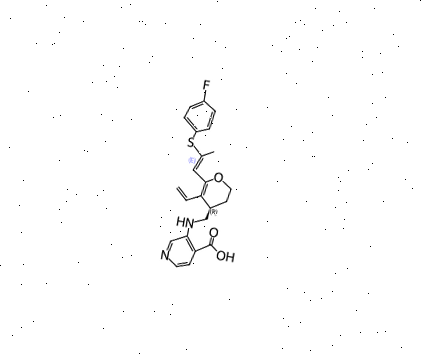 C=CC1=C(/C=C(\C)Sc2ccc(F)cc2)OCC[C@H]1CNc1cnccc1C(=O)O